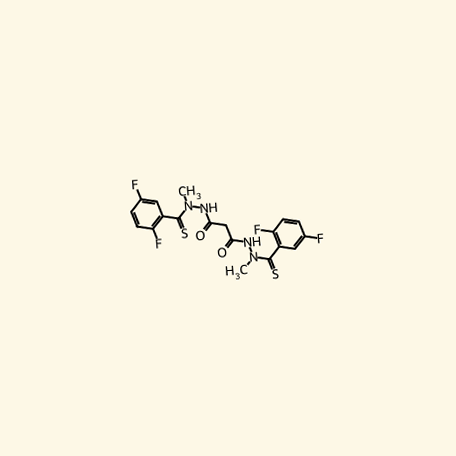 CN(NC(=O)CC(=O)NN(C)C(=S)c1cc(F)ccc1F)C(=S)c1cc(F)ccc1F